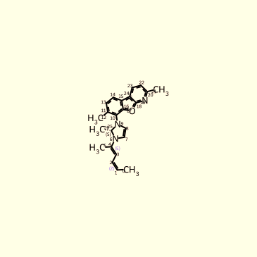 C/C=C\C=C(/C)N1C=CN(c2c(C)ccc3c2oc2nc(C)ccc23)[C@H]1C